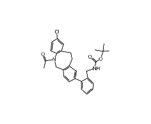 CC(=O)N1Cc2ccc(-c3ccccc3CNC(=O)OC(C)(C)C)cc2CCc2cc(Cl)ccc21